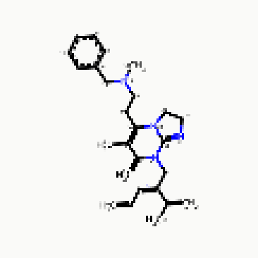 C=C/C=C(/CN1C(=C)C(C)=C(CCN(C)Cc2ccccc2)N2CCN=C12)C(=C)C